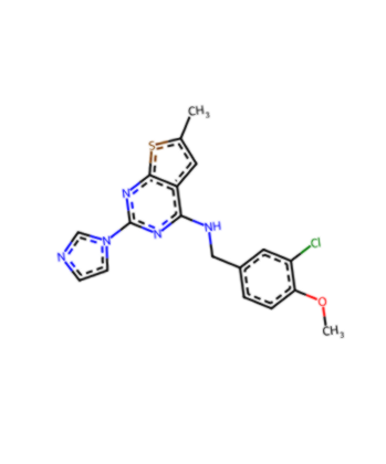 COc1ccc(CNc2nc(-n3ccnc3)nc3sc(C)cc23)cc1Cl